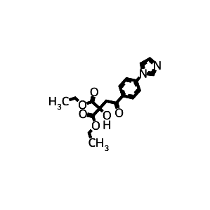 CCOC(=O)C(O)(CC(=O)c1ccc(-n2ccnc2)cc1)C(=O)OCC